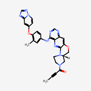 CC#CC(=O)N1CCN2c3nc4c(Nc5ccc(Oc6ccn7ncnc7c6)c(C)c5)ncnc4cc3OC[C@@H]2C1